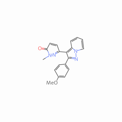 COc1ccc(-c2nn3ccccc3c2-c2ccc(=O)n(C)n2)cc1